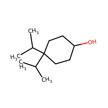 CC(C)C1(C(C)C)CCC(O)CC1